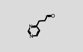 O=[C]CCc1ccncn1